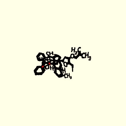 C=C(C)COC1C[C@H](C23C[C@@H]4[C@H](C)CC[C@H]4C4(C5OCCO5)CC2C=C(C(C)C)C43C(=O)OC(c2ccccc2)c2ccccc2)OC1CI